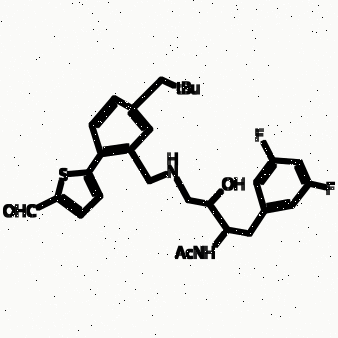 CC(=O)NC(Cc1cc(F)cc(F)c1)C(O)CNCc1cc(CC(C)(C)C)ccc1-c1ccc(C=O)s1